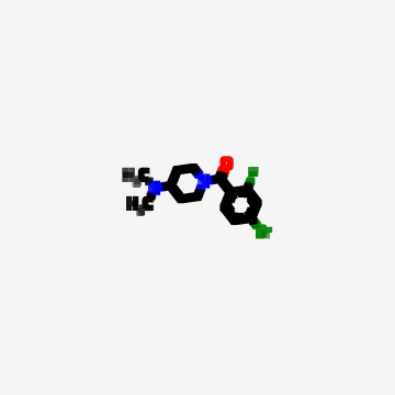 CN(C)C1CCN(C(=O)c2ccc(Br)cc2F)CC1